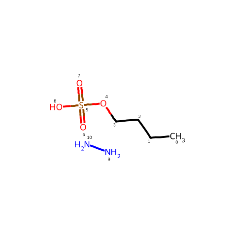 CCCCOS(=O)(=O)O.NN